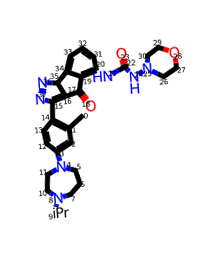 Cc1cc(N2CCCN(C(C)C)CC2)ccc1C1=C2C(=O)c3c(NC(=O)NN4CCOCC4)cccc3C2N=N1